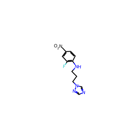 O=[N+]([O-])c1ccc(NCCCn2cncn2)c(F)c1